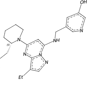 CCc1cnn2c(NCc3cncc(O)c3)cc(N3CCCC[C@H]3CCO)nc12